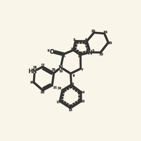 O=C1c2cc3n(c2CC(c2ccccc2)N1C1=CNCC=C1)CCCC3